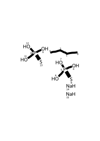 CCCC.OP(O)(O)=S.OP(O)(O)=S.[NaH].[NaH]